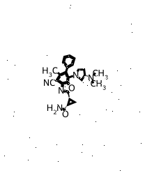 Cc1c(-c2ccccc2)c(N2CC[C@H](N(C)C)C2)c2oc([C@H]3C[C@@H]3C(N)=O)nc2c1C#N